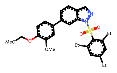 CCc1cc(CC)c(S(=O)(=O)n2ncc3ccc(-c4ccc(OCOC)c(OC)c4)cc32)c(CC)c1